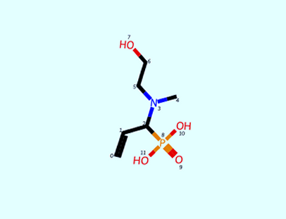 C=CC(N(C)CCO)P(=O)(O)O